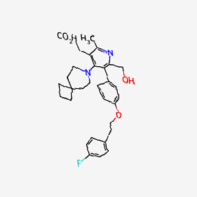 Cc1nc(CO)c(-c2ccc(OCCc3ccc(F)cc3)cc2)c(N2CCC3(CCC3)CC2)c1CC(=O)O